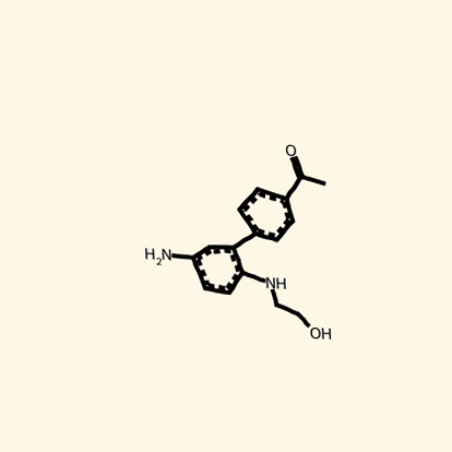 CC(=O)c1ccc(-c2cc(N)ccc2NCCO)cc1